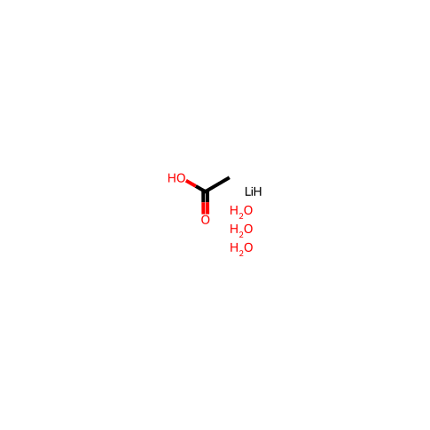 CC(=O)O.O.O.O.[LiH]